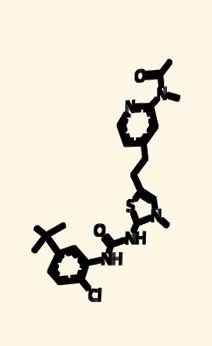 CC(=O)N(C)c1cc(CCC2=CN(C)C(NC(=O)Nc3cc(C(C)(C)C)ccc3Cl)S2)ccn1